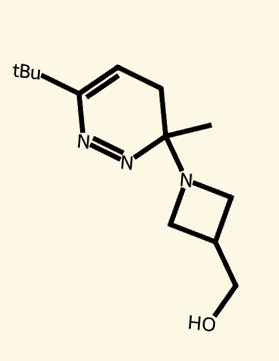 CC(C)(C)C1=CCC(C)(N2CC(CO)C2)N=N1